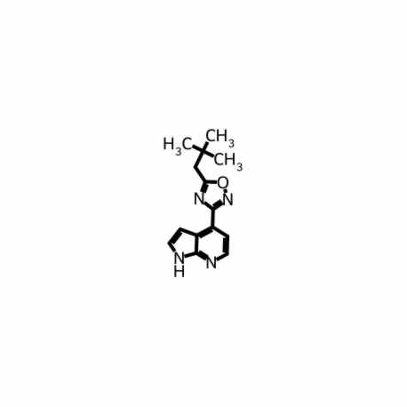 CC(C)(C)Cc1nc(-c2ccnc3[nH]ccc23)no1